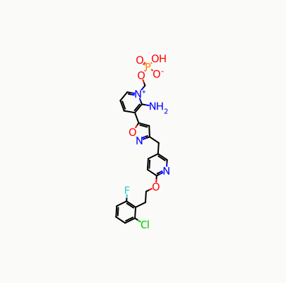 Nc1c(-c2cc(Cc3ccc(OCCc4c(F)cccc4Cl)nc3)no2)ccc[n+]1COP(=O)([O-])O